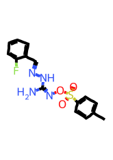 Cc1ccc(S(=O)(=O)ON=C(N)NN=Cc2ccccc2F)cc1